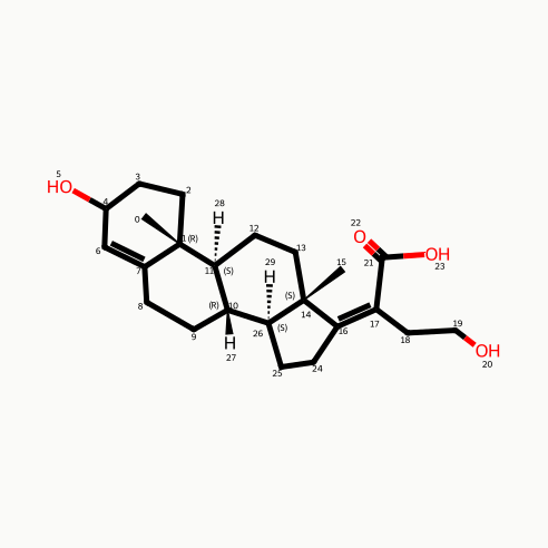 C[C@]12CCC(O)C=C1CC[C@@H]1[C@@H]2CC[C@]2(C)C(=C(CCO)C(=O)O)CC[C@@H]12